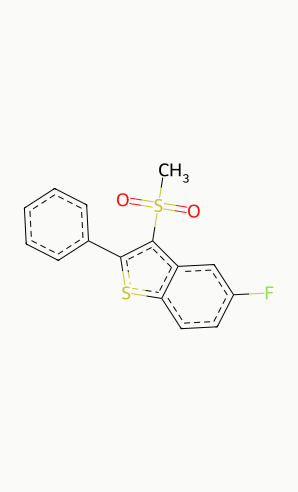 CS(=O)(=O)c1c(-c2ccccc2)sc2ccc(F)cc12